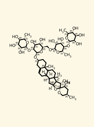 C[C@H]1CO[C@@]2(O[C@H]3C[C@H]4[C@@H]5CC=C6C[C@@H](O[C@@H]7O[C@H](CO[C@@H]8O[C@@H](C)[C@H](O[C@@H]9O[C@@H](C)[C@H](O)[C@@H](O)[C@H]9O)[C@@H](O)[C@H]8O)[C@@H](O)[C@H](O)[C@H]7O[C@@H]7O[C@@H](C)[C@H](O)[C@@H](O)[C@H]7O)CC[C@]6(C)[C@H]5CC[C@]4(C)[C@H]3[C@@H]2C)[C@@H](O)C1